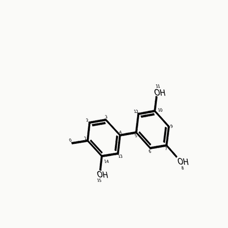 Cc1ccc(-c2cc(O)cc(O)c2)cc1O